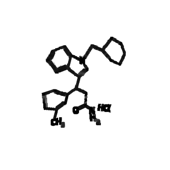 Cc1cccc(C(CC(N)=O)c2cn(CC3CCCCC3)c3ccccc23)c1.Cl